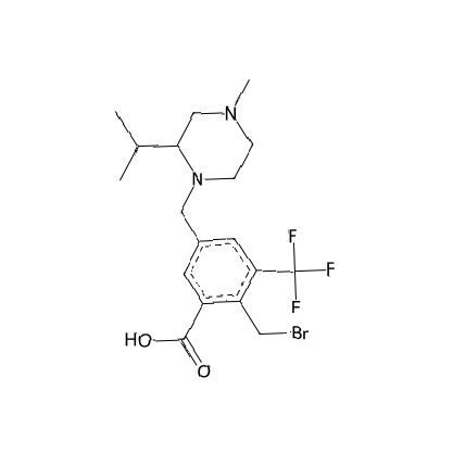 CC(C)C1CN(C)CCN1Cc1cc(C(=O)O)c(CBr)c(C(F)(F)F)c1